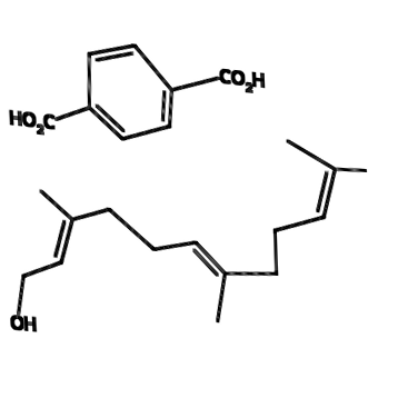 CC(C)=CCCC(C)=CCCC(C)=CCO.O=C(O)c1ccc(C(=O)O)cc1